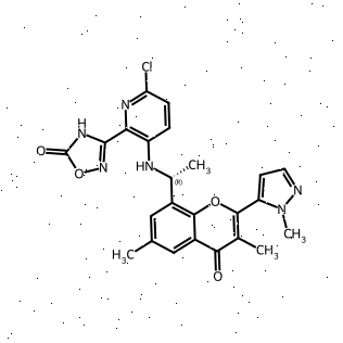 Cc1cc([C@@H](C)Nc2ccc(Cl)nc2-c2noc(=O)[nH]2)c2oc(-c3ccnn3C)c(C)c(=O)c2c1